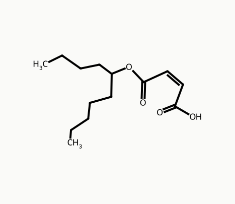 CCCCCC(CCCC)OC(=O)/C=C\C(=O)O